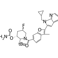 Cc1c(-c2cc3cccnc3n2CC2CC2)oc2cc(C(=O)N3C[C@H](F)C[C@@H](OC(N)=O)C3C(C)(C)C)ccc12